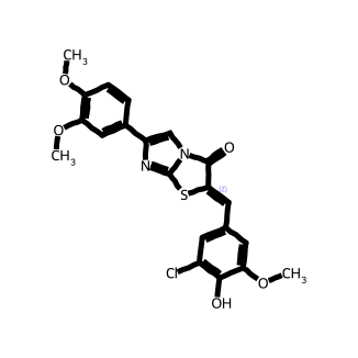 COc1ccc(-c2cn3c(=O)/c(=C/c4cc(Cl)c(O)c(OC)c4)sc3n2)cc1OC